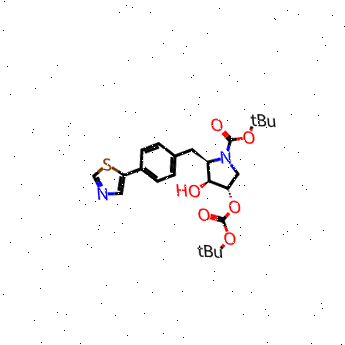 CC(C)(C)OC(=O)O[C@H]1CN(C(=O)OC(C)(C)C)[C@H](Cc2ccc(-c3cncs3)cc2)[C@@H]1O